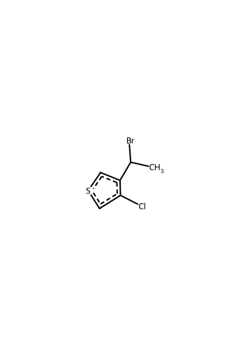 CC(Br)c1cscc1Cl